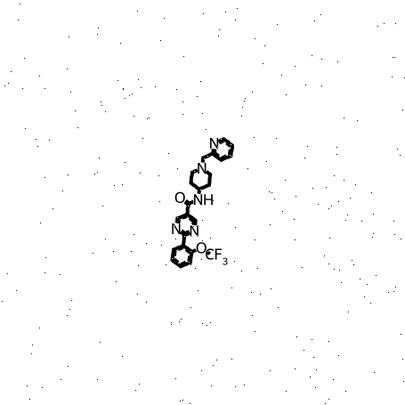 O=C(NC1CCN(Cc2ccccn2)CC1)c1cnc(-c2ccccc2OC(F)(F)F)nc1